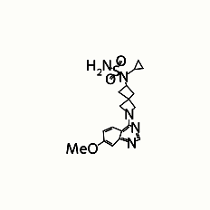 COc1ccc2c(N3CC4(CC(N(C5CC5)S(N)(=O)=O)C4)C3)ncnc2c1